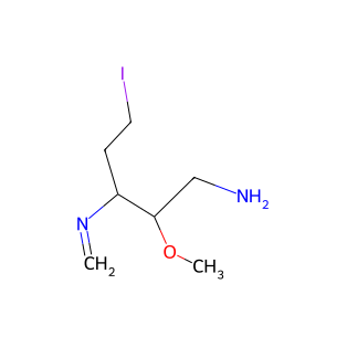 C=NC(CCI)C(CN)OC